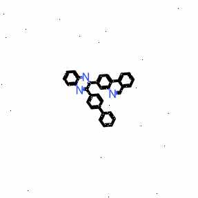 c1ccc(-c2ccc(-c3nc4ccccc4nc3-c3ccc4c(c3)ncc3ccccc34)cc2)cc1